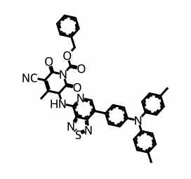 CC1=C(C#N)C(=O)N(C(=O)OCc2ccccc2)C(=O)C1Nc1ncc(-c2ccc(N(c3ccc(C)cc3)c3ccc(C)cc3)cc2)c2nsnc12